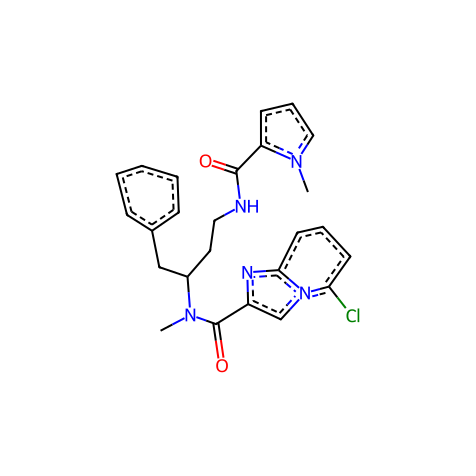 CN(C(=O)c1cn2c(Cl)cccc2n1)C(CCNC(=O)c1cccn1C)Cc1ccccc1